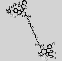 COc1cc2c(cc1-c1c(C)noc1C)ncc1c2n(C(C)c2ccccn2)c(=O)n1CC(=O)NCCOCCOCCOCCOCCNC(=O)C[C@@H]1N=C(c2ccc(Cl)cc2)c2c(sc(C)c2C)-n2c(C)nnc21